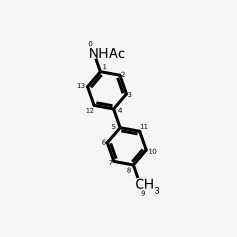 CC(=O)Nc1ccc(-c2ccc(C)cc2)cc1